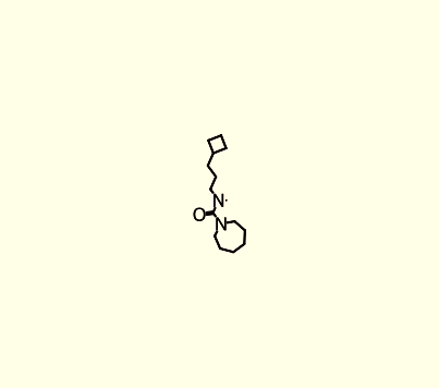 O=C([N]CCCC1CCC1)N1CCCCCC1